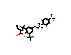 CCCC(=O)Oc1c(C(C)(C)C)cc(CC[Si](C)(C)c2ccc(N(C)C)cc2)cc1C(C)(C)C